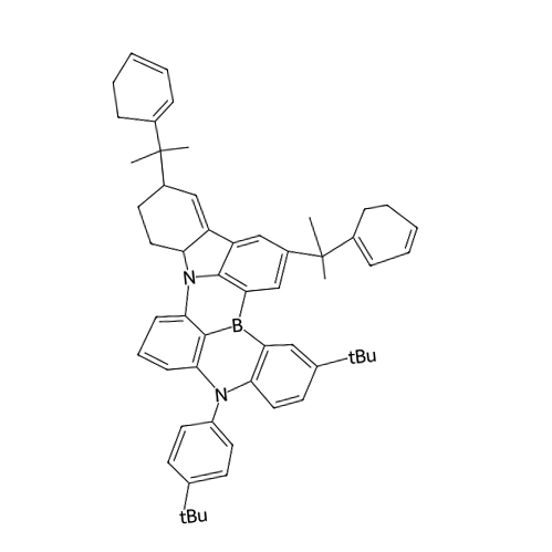 CC(C)(C)c1ccc(N2c3ccc(C(C)(C)C)cc3B3c4cc(C(C)(C)C5=CC=CCC5)cc5c4N(c4cccc2c43)C2CCC(C(C)(C)C3=CC=CCC3)C=C52)cc1